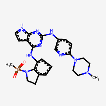 CN1CCN(c2ccc(Nc3nc(Nc4cccc5c4N(S(C)(=O)=O)CC5)c4cc[nH]c4n3)cn2)CC1